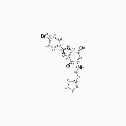 O=C1C=C(NCCN2CCCC2)C(=O)c2oc(-c3ccc(Br)cc3)nc21